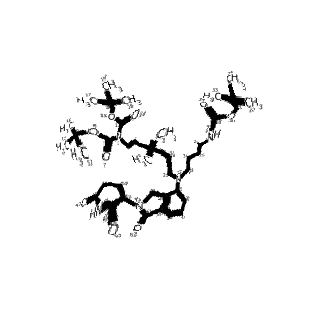 CC(C)(CCN(C(=O)OC(C)(C)C)C(=O)OC(C)(C)C)CCN(CCCCNC(=O)OC(C)(C)C)c1cccc2c1CN(C1CCC(=O)NC1=O)C2=O